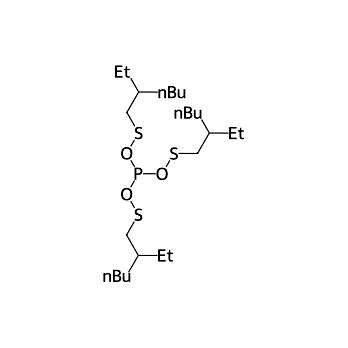 CCCCC(CC)CSOP(OSCC(CC)CCCC)OSCC(CC)CCCC